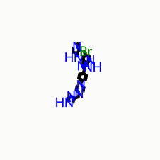 CN1CCC(Nc2c(Br)cnc3[nH]c(-c4ccc(N5CCN(Cc6c[nH]cn6)CC5)cc4)nc23)C1